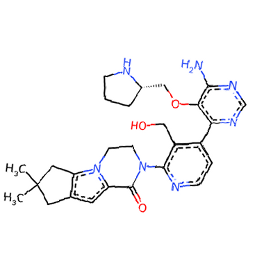 CC1(C)Cc2cc3n(c2C1)CCN(c1nccc(-c2ncnc(N)c2OC[C@@H]2CCCN2)c1CO)C3=O